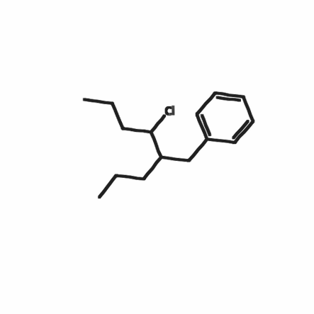 CCCC(Cl)C(CCC)Cc1ccccc1